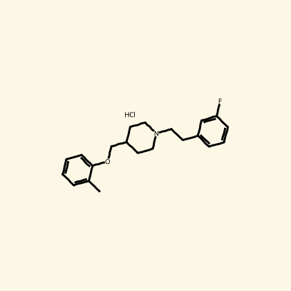 Cc1ccccc1OCC1CCN(CCc2cccc(F)c2)CC1.Cl